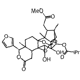 COC(=O)CC1C2(C)CC34OC5(C)OC6(C7CC(=O)OC(c8ccoc8)C7(C)CCC6(O5)C13C)C(O)C4(O)C2OC(=O)C(C)C